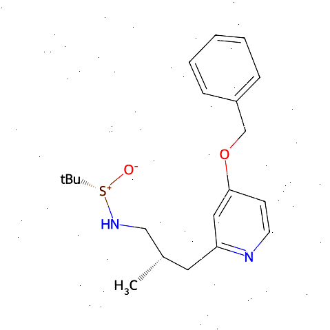 C[C@H](CN[S@@+]([O-])C(C)(C)C)Cc1cc(OCc2ccccc2)ccn1